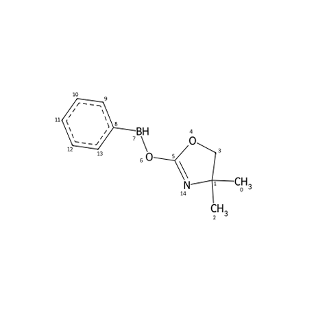 CC1(C)COC(OBc2ccccc2)=N1